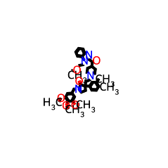 CCOCCn1c(C(=O)C2CCN(CCC3(c4ccc(C)c(C)c4)CCN(Cc4cc(OC)c(OC)c(OC)c4)C3=O)CC2)nc2ccccc21